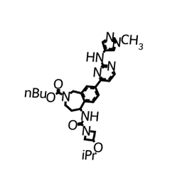 CCCCOC(=O)N1CCC(NC(=O)N2CC(OC(C)C)C2)c2ccc(-c3ccnc(Nc4cnn(C)c4)n3)cc2C1